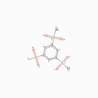 CCS(=O)(=O)c1cc(S(C)(=O)=O)cc(S(=O)(=O)C(C)C)c1